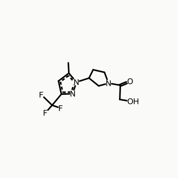 Cc1cc(C(F)(F)F)nn1C1CCN(C(=O)CO)C1